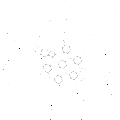 CC(C)(C)c1cc(N2c3ccc(C(C)(C)C)cc3B3c4oc5cc6c(cc5c4N(c4ccc5c(c4)C(C)(C)CCC5(C)C)c4cc(N(c5ccccc5)c5ccc([Si](C)(C)C)cc5)cc2c43)C(C)(C)CCC6(C)C)cc(C(C)(C)C)c1